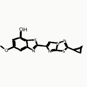 COc1cc(O)c2sc(-c3cn4nc(C5CC5)sc4n3)nc2c1